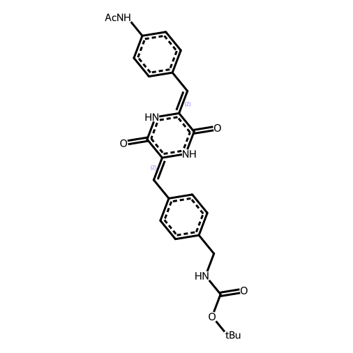 CC(=O)Nc1ccc(/C=c2\[nH]c(=O)/c(=C/c3ccc(CNC(=O)OC(C)(C)C)cc3)[nH]c2=O)cc1